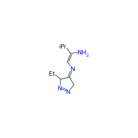 CCC1N=NC/C1=N/C=C(\N)C(C)C